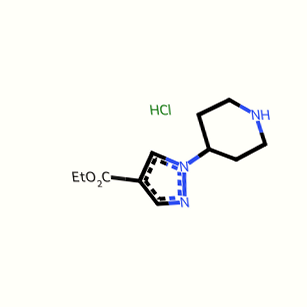 CCOC(=O)c1cnn(C2CCNCC2)c1.Cl